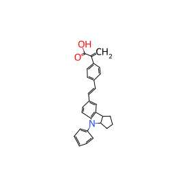 C=C(C(=O)O)c1ccc(C=Cc2ccc3c(c2)C2CCCC2N3c2ccccc2)cc1